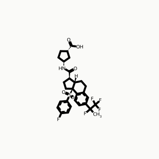 CC(F)(c1ccc2c(c1)CC[C@H]1[C@H](C(=O)N[C@@H]3CC[C@H](C(=O)O)C3)CC[C@@]21S(=O)(=O)c1ccc(F)cc1)C(F)(F)F